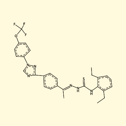 CCc1cccc(CC)c1NC(=S)N/N=C(\C)c1ccc(-c2ncn(-c3ccc(OC(F)(F)F)cc3)n2)cc1